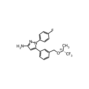 C[C@@H](OCc1cccc(-c2cc(N)nn2-c2ccc(F)cc2)c1)C(F)(F)F